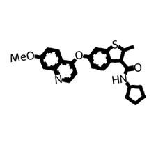 COc1ccc2c(Oc3ccc4c(c3)SC(C)C4C(=O)NC3CCCC3)ccnc2c1